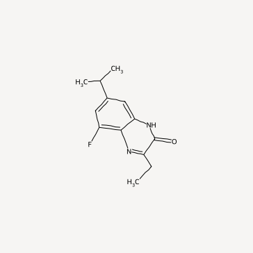 CCc1nc2c(F)cc(C(C)C)cc2[nH]c1=O